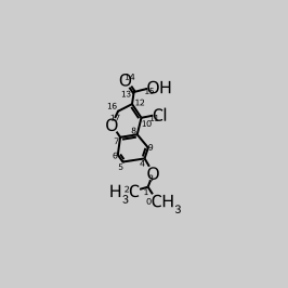 CC(C)Oc1ccc2c(c1)C(Cl)=C(C(=O)O)CO2